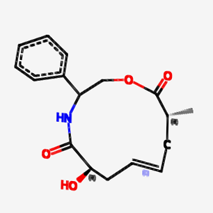 C[C@@H]1C/C=C/C[C@@H](O)C(=O)NC(c2ccccc2)COC1=O